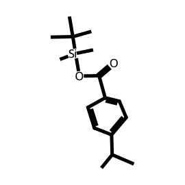 CC(C)c1ccc(C(=O)O[Si](C)(C)C(C)(C)C)cc1